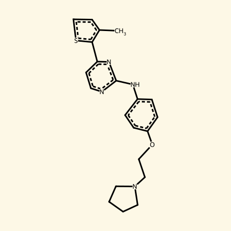 Cc1ccsc1-c1ccnc(Nc2ccc(OCCN3CCCC3)cc2)n1